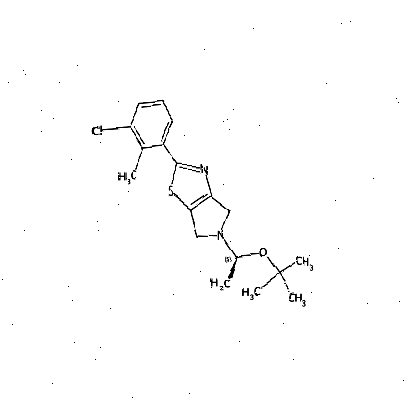 Cc1c(Cl)cccc1-c1nc2c(s1)CN([C@H](C)OC(C)(C)C)C2